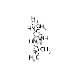 CCc1ncc(CN/C=C(/CC(=O)NC(C)C)C2C=CNN2)cc1C